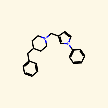 c1ccc(CC2CCN(Cc3ccn(-c4ccccc4)c3)CC2)cc1